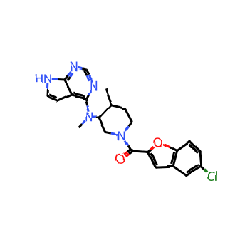 CC1CCN(C(=O)c2cc3cc(Cl)ccc3o2)CC1N(C)c1ncnc2[nH]ccc12